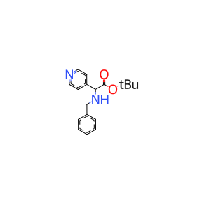 CC(C)(C)OC(=O)C(NCc1ccccc1)c1ccncc1